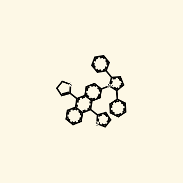 C1=C(c2c3ccccc3c(-c3cccs3)c3cc(-n4c(-c5ccccc5)ccc4-c4ccccc4)ccc23)SCC1